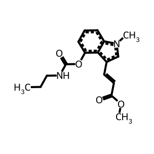 CCCNC(=O)Oc1cccc2c1c(C=CC(=O)OC)cn2C